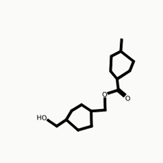 CC1CCC(C(=O)OCC2CCC(CO)CC2)CC1